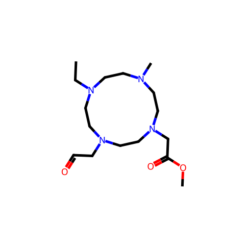 CCN1CCN(C)CCN(CC(=O)OC)CCN(CC=O)CC1